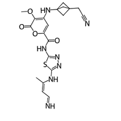 COc1c(NC23CC(CC#N)(C2)C3)cc(C(=O)Nc2nnc(N/C(C)=C\C=N)s2)oc1=O